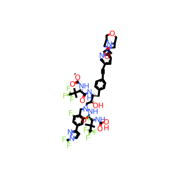 COC(=O)N[C@H](C(=O)N[C@@H](Cc1ccc(C#Cc2ccc(N3CC4COCC(C3)N4C3COC3)nc2)cc1)[C@@H](O)CN(Cc1c(F)cc(-c2ccn(C(F)F)n2)cc1F)NC(=O)[C@@H](NC(=O)O)C(C)(C)C(F)(F)F)C(C)(C)C(F)(F)F